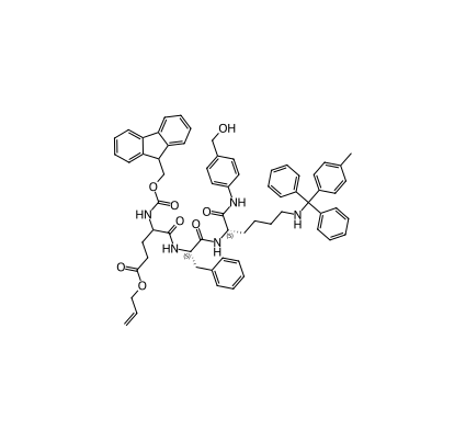 C=CCOC(=O)CCC(NC(=O)OCC1c2ccccc2-c2ccccc21)C(=O)N[C@@H](Cc1ccccc1)C(=O)N[C@@H](CCCCNC(c1ccccc1)(c1ccccc1)c1ccc(C)cc1)C(=O)Nc1ccc(CO)cc1